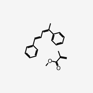 C=C(C)C(=O)OC.CC(=CC=Cc1ccccc1)c1ccccc1